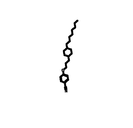 CCCCCCCCC1CCC(CCCOc2ccc(C#N)cc2)CC1